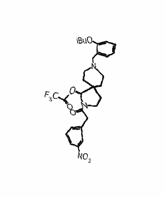 CC(C)COc1ccccc1CN1CCC2(CC1)CCN(C(=O)Cc1cccc([N+](=O)[O-])c1)C2OC(=O)C(F)(F)F